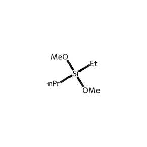 [CH2]C[CH][Si](CC)(OC)OC